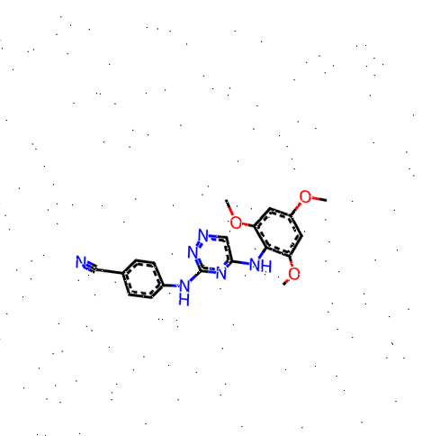 COc1cc(OC)c(Nc2cnnc(Nc3ccc(C#N)cc3)n2)c(OC)c1